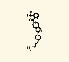 CCCCN1CCN(c2ncc3c(n2)CCN(C(=O)c2c(F)cccc2C(F)(F)F)CC3)CC1